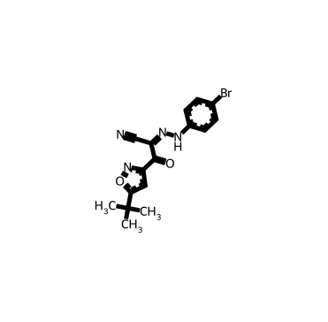 CC(C)(C)c1cc(C(=O)C(C#N)=NNc2ccc(Br)cc2)no1